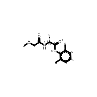 COCC(=O)N[C@H](C)C(=O)Oc1c(C)cccc1C